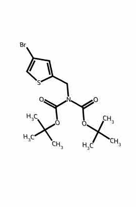 CC(C)(C)OC(=O)N(Cc1cc(Br)cs1)C(=O)OC(C)(C)C